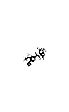 C[C@@H](c1cc(C(=O)[N+](=O)C2(CC(N)=O)C(=O)SC2=O)ncc1C1(F)CCC1)C(F)(F)F